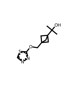 CC(C)(O)C12CC(COc3nncs3)(C1)C2